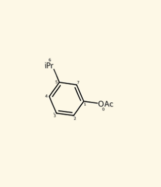 CC(=O)Oc1c[c]cc(C(C)C)c1